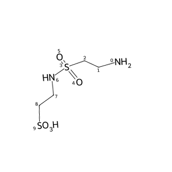 NCCS(=O)(=O)NCCS(=O)(=O)O